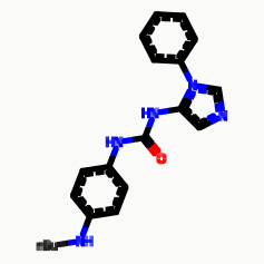 CCCCNc1ccc(NC(=O)Nc2cncn2-c2ccccc2)cc1